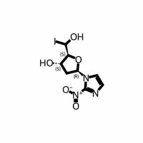 O=[N+]([O-])c1nccn1[C@H]1C[C@H](O)[C@@H](C(O)I)O1